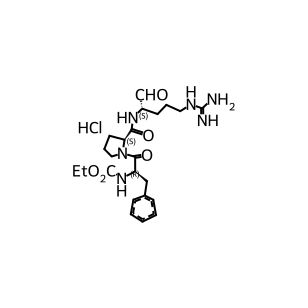 CCOC(=O)N[C@H](Cc1ccccc1)C(=O)N1CCC[C@H]1C(=O)N[C@H](C=O)CCCNC(=N)N.Cl